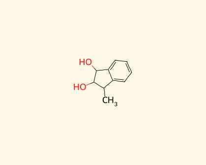 CC1c2ccccc2C(O)C1O